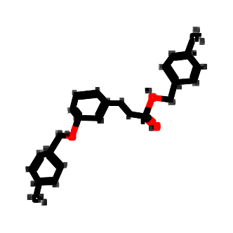 O=C(CCc1cccc(OCc2ccc(C(F)(F)F)cc2)c1)OCc1ccc(C(F)(F)F)cc1